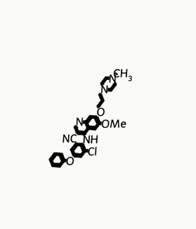 COc1cc2c(Nc3ccc(Oc4ccccc4)cc3Cl)c(C#N)cnc2cc1OCCCN1CCN(C)CC1